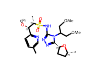 CCCO[C@@H](c1ccc(C)cn1)[C@H](C)S(=O)(=O)Nc1nnc([C@H]2CC[C@@H](C)O2)n1C(COC)COC